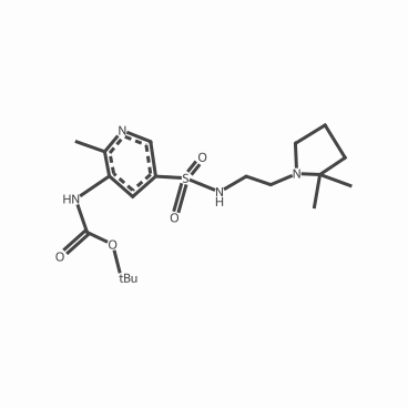 Cc1ncc(S(=O)(=O)NCCN2CCCC2(C)C)cc1NC(=O)OC(C)(C)C